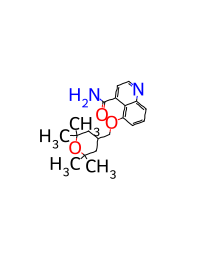 CC1(C)CC(COc2cccc3nccc(C(N)=O)c23)CC(C)(C)O1